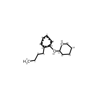 CCCCc1ccccc1OC1CCCCO1